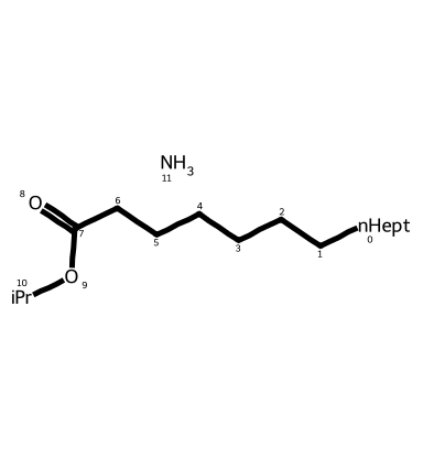 CCCCCCCCCCCCCC(=O)OC(C)C.N